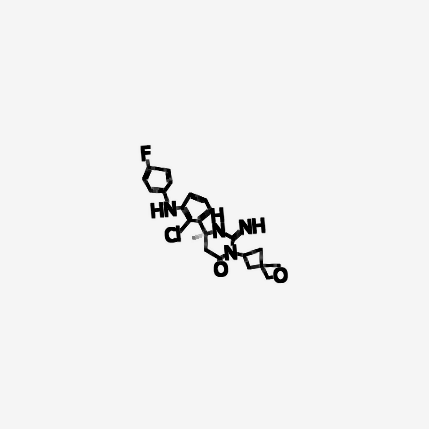 C[C@@]1(c2cccc(Nc3ccc(F)cc3)c2Cl)CC(=O)N(C2CC3(COC3)C2)C(=N)N1